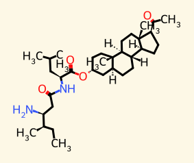 CC[C@@H](C)[C@@H](N)CC(=O)N[C@@H](CC(C)C)C(=O)O[C@@H]1CC[C@@]2(C)[C@@H](CC[C@@H]3[C@@H]2CC[C@]2(C)[C@@H](C(C)=O)CC[C@@H]32)C1